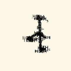 CC(=O)N[C@H]1[C@H](OCCOCCOCCOCC(=O)NCCCC[C@H](NC(=O)COCCOCCOCCO[C@@H]2O[C@H](CO)[C@H](O)[C@H](O)[C@H]2NC(C)=O)C(=O)N[C@@H](CCCCNC(=O)COCCOCCOCCO[C@@H]2O[C@H](CO)[C@H](O)[C@H](O)[C@H]2NC(C)=O)C(=O)NCCOC(=O)O)O[C@H](CO)[C@H](O)[C@@H]1O